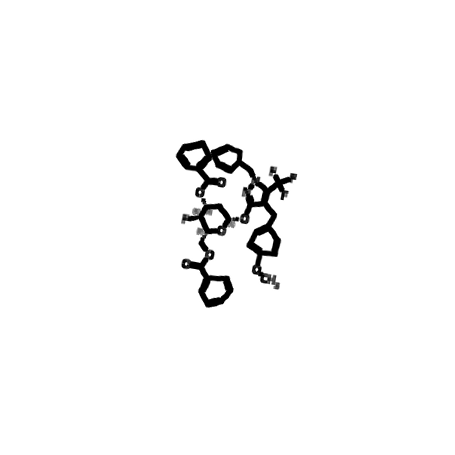 COc1ccc(Cc2c(O[C@H]3C[C@@H](OC(=O)c4ccccc4)[C@H](F)[C@@H](COC(=O)c4ccccc4)O3)nn(CC3C=CC=CC3)c2C(F)(F)F)cc1